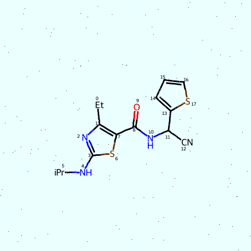 CCc1nc(NC(C)C)sc1C(=O)NC(C#N)c1cccs1